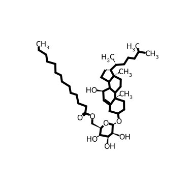 CCCCCCCCCCCCCC(=O)OC[C@H]1O[C@H](OC2CC[C@@]3(C)C(=C[C@@H](O)C4C3CC[C@@]3(C)C4CC[C@@H]3[C@H](C)CCCC(C)C)C2)[C@@H](O)[C@@H](O)[C@@H]1O